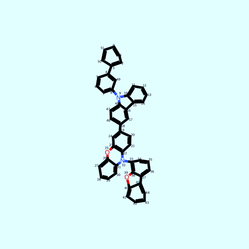 c1ccc(-c2cccc(-n3c4ccccc4c4cc(-c5ccc6c(c5)Oc5ccccc5N6c5cccc6c5oc5ccccc56)ccc43)c2)cc1